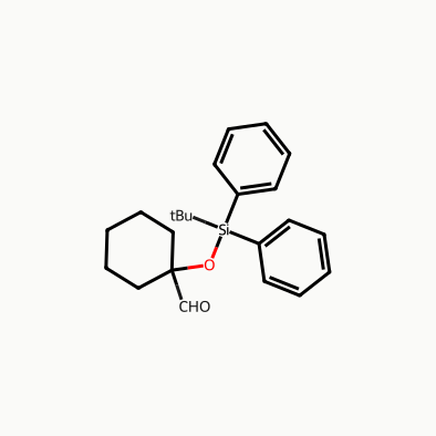 CC(C)(C)[Si](OC1(C=O)CCCCC1)(c1ccccc1)c1ccccc1